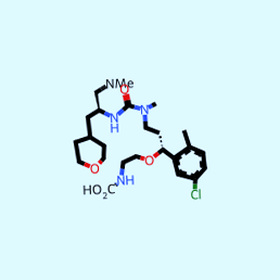 CNC[C@H](CC1CCOCC1)NC(=O)N(C)CC[C@@H](OCCNC(=O)O)c1cc(Cl)ccc1C